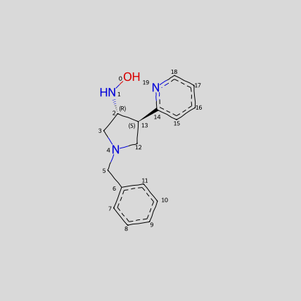 ON[C@H]1CN(Cc2ccccc2)C[C@@H]1c1ccccn1